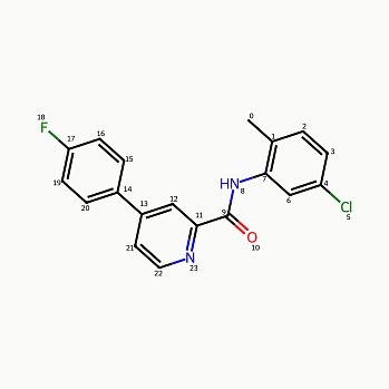 Cc1ccc(Cl)cc1NC(=O)c1cc(-c2ccc(F)cc2)ccn1